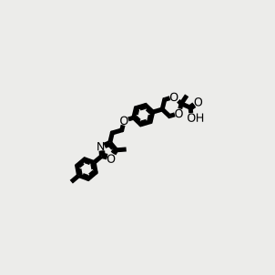 Cc1ccc(-c2nc(CCOc3ccc(C4COC(C)(C(=O)O)OC4)cc3)c(C)o2)cc1